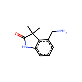 CC1(C)C(=O)Nc2cccc(CN)c21